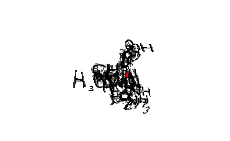 CNc1cc(F)c(F)c2c1[nH]c1ncc(-c3ccc4ccc(C(=O)O)c(=O)n4c3)c(N3C[C@@H]4[C@H](C3)[C@@H]4N(C)C)c12